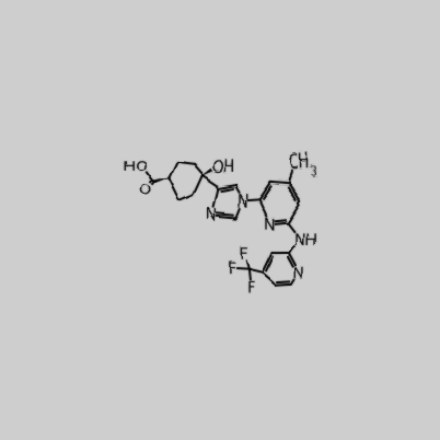 Cc1cc(Nc2cc(C(F)(F)F)ccn2)nc(-n2cnc([C@]3(O)CC[C@@H](C(=O)O)CC3)c2)c1